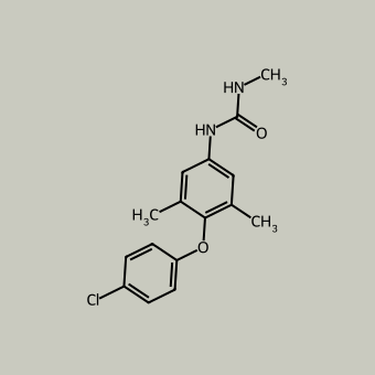 CNC(=O)Nc1cc(C)c(Oc2ccc(Cl)cc2)c(C)c1